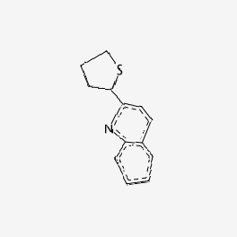 c1ccc2nc(C3CCCS3)ccc2c1